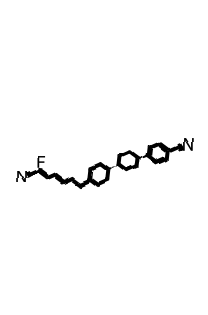 N#C/C(F)=C/C=C/CCC1CCC([C@H]2CC[C@H](c3ccc(C#N)cc3)CC2)CC1